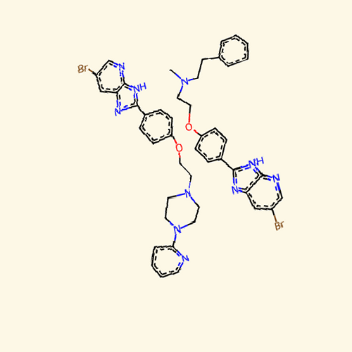 Brc1cnc2[nH]c(-c3ccc(OCCN4CCN(c5ccccn5)CC4)cc3)nc2c1.CN(CCOc1ccc(-c2nc3cc(Br)cnc3[nH]2)cc1)CCc1ccccc1